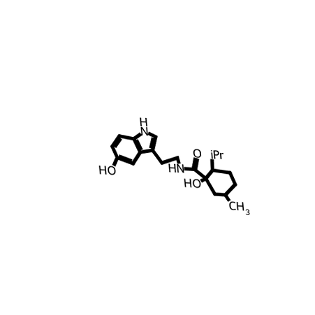 CC1CCC(C(C)C)C(O)(C(=O)NCCc2c[nH]c3ccc(O)cc23)C1